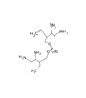 CCC(CO[PH](=O)OCC(CC)C(N)CN)C(N)CN